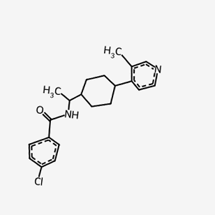 Cc1cnccc1C1CCC(C(C)NC(=O)c2ccc(Cl)cc2)CC1